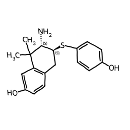 CC1(C)c2cc(O)ccc2C[C@H](Sc2ccc(O)cc2)[C@H]1N